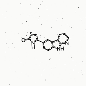 O=c1[nH]c(-c2ccc3[nH]c4ncccc4c3c2)cs1